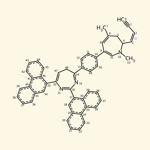 C#C/C=C\C1CC(C)=CC(c2ccc(C3=NC(c4cc5ccccc5c5ccccc45)=NC(c4cc5ccccc5c5ccccc45)=CC3)cc2)=CN1C